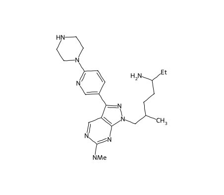 CCC(N)CCC(C)Cn1nc(-c2ccc(N3CCNCC3)nc2)c2cnc(NC)nc21